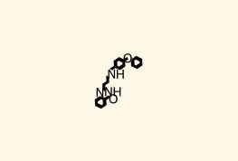 O=c1[nH]c(CCCNCc2ccc(Oc3ccccc3)cc2)nc2ccccc12